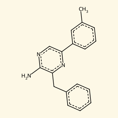 Cc1cccc(-c2cnc(N)c(Cc3ccccc3)n2)c1